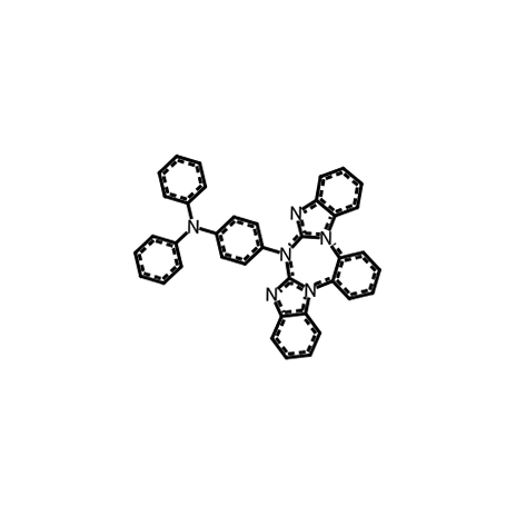 c1ccc(N(c2ccccc2)c2ccc(-n3c4nc5ccccc5n4c4ccccc4n4c5ccccc5nc34)cc2)cc1